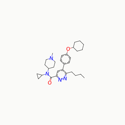 CCCCc1nnc(C(=O)N(C2CC2)C2CCN(C)CC2)cc1-c1ccc(OC2CCCCC2)cc1